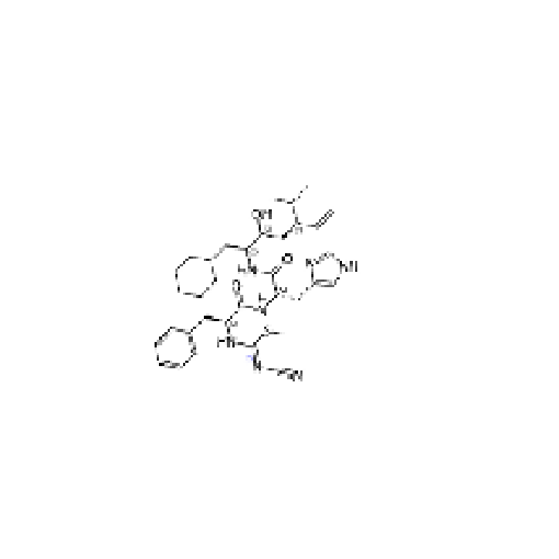 C=C[C@@H](C[C@H](O)[C@H](CC1CCCCC1)NC(=O)[C@H](Cc1c[nH]cn1)NC(=O)[C@H](Cc1ccccc1)N/C(=N/C#N)SC)C(C)C